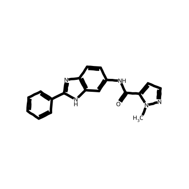 Cn1nccc1C(=O)Nc1ccc2nc(-c3ccccc3)[nH]c2c1